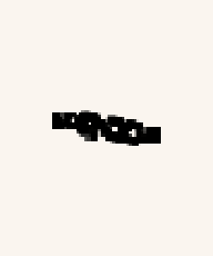 N#Cc1ccc(N2CCC3(CCNCC3)CC2)nc1